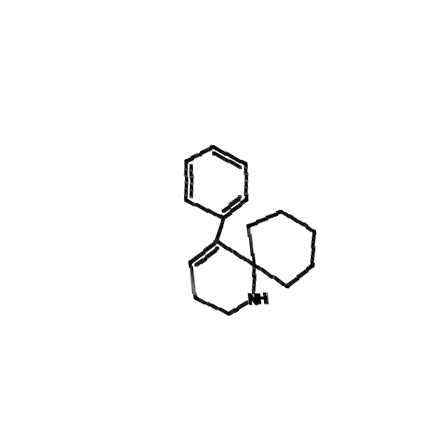 C1=C(c2ccccc2)C2(CCCCC2)NCC1